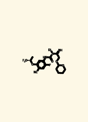 CCN(C(=N)COC1CCCCO1)C(=O)Nc1cc(O[C@@H](C)C(F)(F)F)c(C#N)cc1F